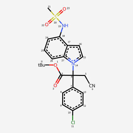 CC(C)(C)OC(=O)C(CC#N)(c1ccc(Cl)cc1)n1ccc2c(NS(C)(=O)=O)cccc21